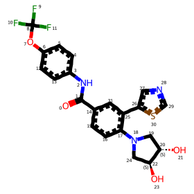 O=C(Nc1ccc(OC(F)(F)F)cc1)c1ccc(N2C[C@H](O)[C@@H](O)C2)c(-c2cncs2)c1